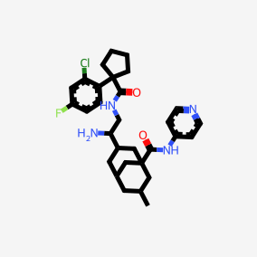 CC1CC2CC(C(N)CNC(=O)C3(c4ccc(F)cc4Cl)CCCC3)CC(C(=O)Nc3ccncc3)(C1)C2